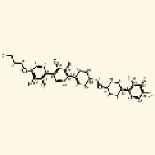 CCCCOc1ccc(-c2ccc(C3=CCC(COC4CCC(c5ccc(C)c(F)c5F)CC4)CC3)c(F)c2F)c(F)c1F